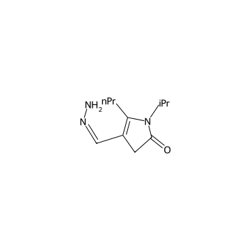 CCCC1=C(/C=N\N)CC(=O)N1C(C)C